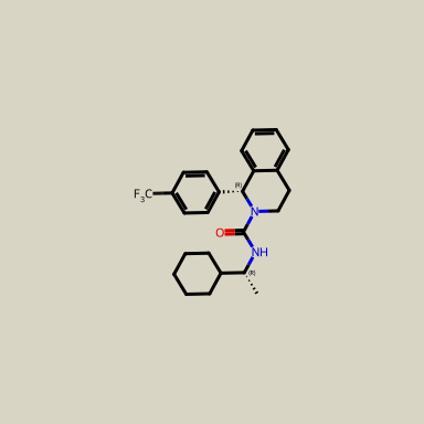 C[C@@H](NC(=O)N1CCc2ccccc2[C@H]1c1ccc(C(F)(F)F)cc1)C1CCCCC1